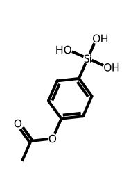 CC(=O)Oc1ccc([Si](O)(O)O)cc1